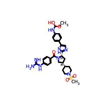 COC(O)Nc1ccc(-c2cnc([C@@H]3C[C@H](C4CCN(S(C)(=O)=O)CC4)CN3C(=O)c3ccc(NC(=N)N)cc3)[nH]2)cc1